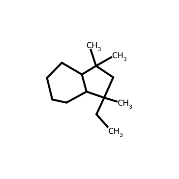 CCC1(C)CC(C)(C)C2CCCCC21